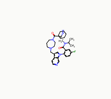 CC(C)N(C)C(=O)c1cc(F)ccc1-n1cc(CN2CCCN(C(=O)C3NC4CCC3CC4)CC2)c2ccncc21